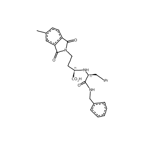 Cc1ccc2c(c1)C(=O)N(CC[C@@H](N[C@@H](CC(C)C)C(=O)NCc1ccccc1)C(=O)O)C2=O